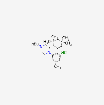 CCCCN1CCN(c2cc(C)ccc2C2=CC(C)(C)CC(C)(C)C2)CC1.Cl